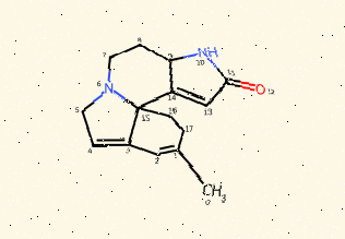 CC1=CC2=CCN3CCC4NC(=O)C=C4C23CC1